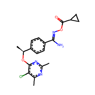 Cc1nc(C)c(Cl)c(O[C@@H](C)c2ccc(/C(N)=N/OC(=O)C3CC3)cc2)n1